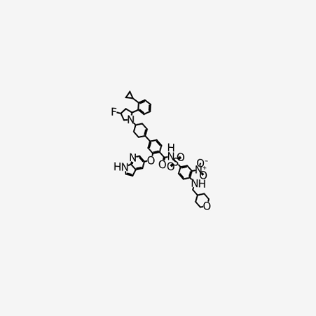 O=C(NS(=O)(=O)c1ccc(NCC2CCOCC2)c([N+](=O)[O-])c1)c1ccc(C2=CCC(N3CC(F)CC3c3ccccc3C3CC3)CC2)cc1Oc1cnc2[nH]ccc2c1